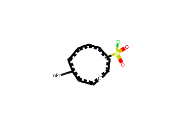 CCCc1ccccc(S(=O)(=O)Cl)cccc1